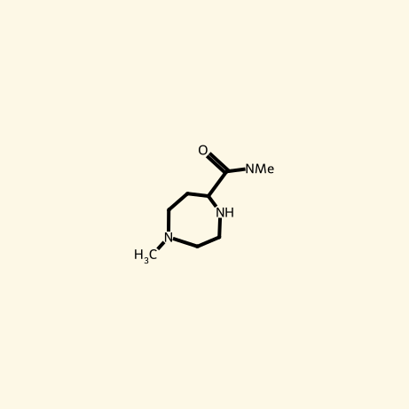 CNC(=O)C1CCN(C)CCN1